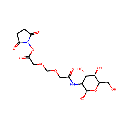 O=C(COCOCC(=O)ON1C(=O)CCC1=O)NC1[C@H](O)OC(CO)[C@H](O)[C@H]1O